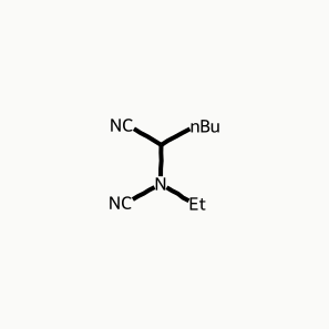 CCCCC(C#N)N(C#N)CC